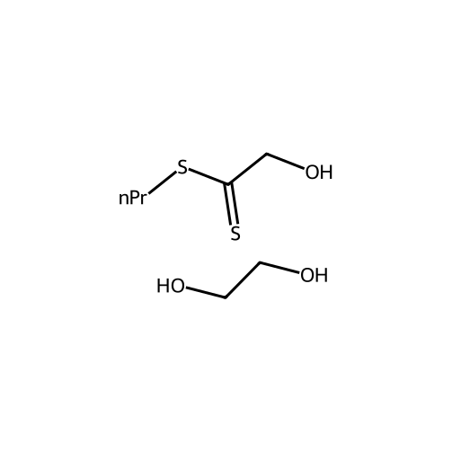 CCCSC(=S)CO.OCCO